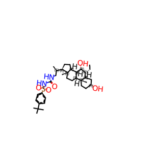 CC[C@H]1[C@@H](O)[C@@H]2[C@H](CC[C@]3(C)[C@@H]([C@H](C)CNC(=O)NS(=O)(=O)c4ccc(C(C)(C)C)cc4)CC[C@@H]23)[C@@]2(C)CC[C@@H](O)C[C@@H]12